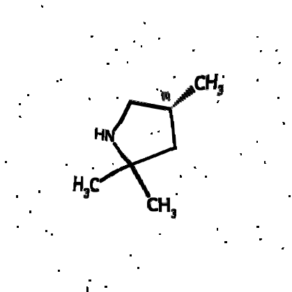 C[C@H]1CNC(C)(C)C1